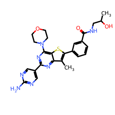 Cc1c(-c2cccc(C(=O)NCC(C)O)c2)sc2c(N3CCOCC3)nc(-c3cnc(N)nc3)nc12